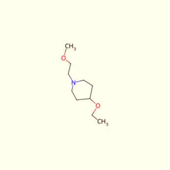 CCOC1CCN(CCOC)CC1